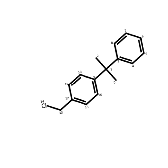 CC(C)(c1ccccc1)c1ccc(CCl)cc1